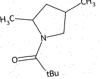 CC1CC(C)N(C(=O)C(C)(C)C)C1